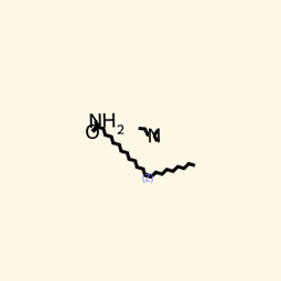 CCCCCCCC/C=C\CCCCCCCCCCCC(N)=O.CCCN(C)C